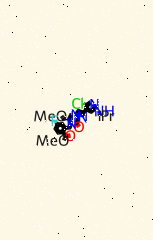 COC[C@H]1Cn2cc(-c3cc(NC(C)C)ncc3Cl)nc2C(=O)N1Cc1cc(F)ccc1C(=O)OC